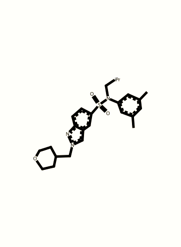 Cc1cc(C)cc(N(CC(C)C)S(=O)(=O)c2ccc3nn(CC4CCOCC4)cc3c2)c1